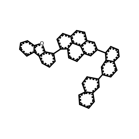 c1ccc2cc(-c3ccc4cccc(-c5cc6ccc7ccc(-c8cccc9c8oc8ccccc89)c8ccc(c5)c6c78)c4c3)ccc2c1